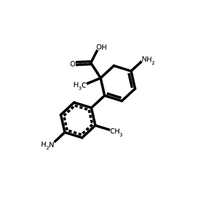 Cc1cc(N)ccc1C1=CC=C(N)CC1(C)C(=O)O